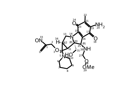 C=C(CO[C@@]1(N2CCCCC2)C2[C@@H]1CN1C3=C(C(=O)C(N)=C(C)C3=O)[C@@H](NCOOC)[C@@]21CO)N=O